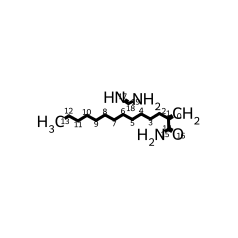 C=C(CCCCCCCCCCCC)C(N)=O.N=CN